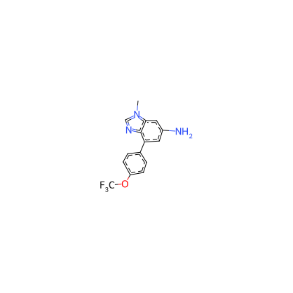 Cn1cnc2c(-c3ccc(OC(F)(F)F)cc3)cc(N)cc21